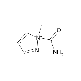 [CH2][N+]1(C(N)=O)C=CC=N1